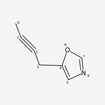 CC#C[CH]c1cnco1